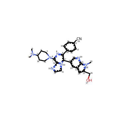 CN(C)C1CCN(c2nc(-c3ccc(C#N)cc3)c(-c3cnc4c(c3)cc(CO)n4C)n3ccnc23)CC1